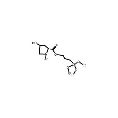 CCO[Si](CCCOC(=O)[C@H]1CC(O)CN1C(C)=O)(OCC)OCC